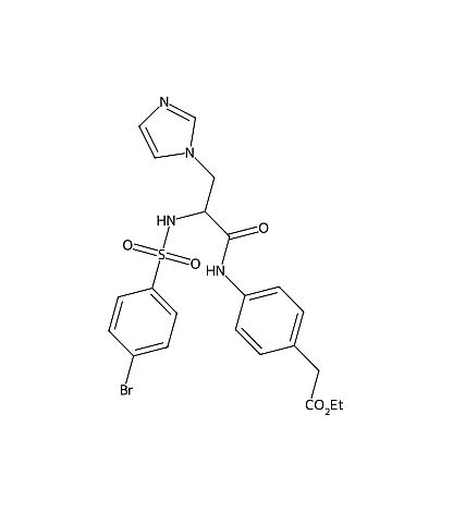 CCOC(=O)Cc1ccc(NC(=O)C(Cn2ccnc2)NS(=O)(=O)c2ccc(Br)cc2)cc1